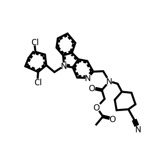 CC(=O)OCC(=O)N(Cc1cc2c3ccccc3n(Cc3cc(Cl)ccc3Cl)c2cn1)CC1CCC(C#N)CC1